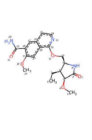 CC[C@@H]1[C@H](OC)C(=O)N[C@@H]1COc1nccc2cc(C(N)=O)c(OC)cc12